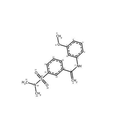 C=C(Nc1cccc(OC)c1)c1cccc(S(=O)(=O)N(C)C)c1